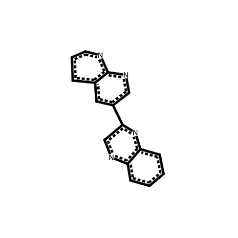 c1cnc2ncc(-c3cnc4ccccc4n3)cc2c1